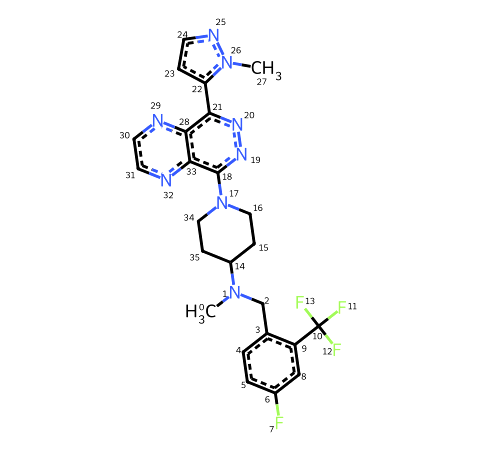 CN(Cc1ccc(F)cc1C(F)(F)F)C1CCN(c2nnc(-c3ccnn3C)c3nccnc23)CC1